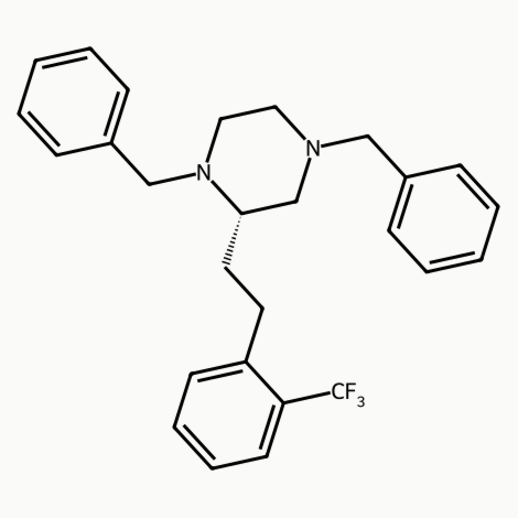 FC(F)(F)c1ccccc1CC[C@H]1CN(Cc2ccccc2)CCN1Cc1ccccc1